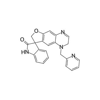 O=C1Nc2ccccc2C12COc1cc3c(cc12)N(Cc1ccccn1)CC=N3